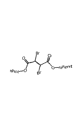 CCCCCOC(=O)C(Br)C(Br)C(=O)OCCCCC